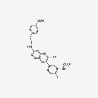 CCc1nc2cc(NCCc3ccc(OC)cc3)ncc2cc1-c1ccc(F)c(NC(=O)O)c1